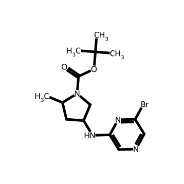 CC1CC(Nc2cncc(Br)n2)CN1C(=O)OC(C)(C)C